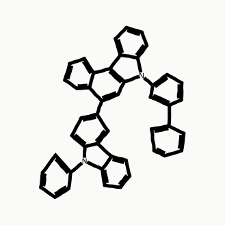 c1ccc(-c2cccc(-n3c4ccccc4c4c5ccccc5c(-c5ccc6c(c5)c5ccccc5n6-c5ccccc5)cc43)c2)cc1